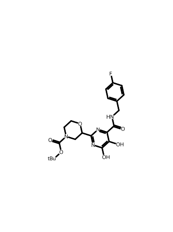 CC(C)(C)OC(=O)N1CCOC(c2nc(O)c(O)c(C(=O)NCc3ccc(F)cc3)n2)C1